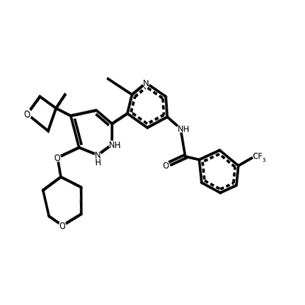 Cc1ncc(NC(=O)c2cccc(C(F)(F)F)c2)cc1C1=CC(C2(C)COC2)=C(OC2CCOCC2)NN1